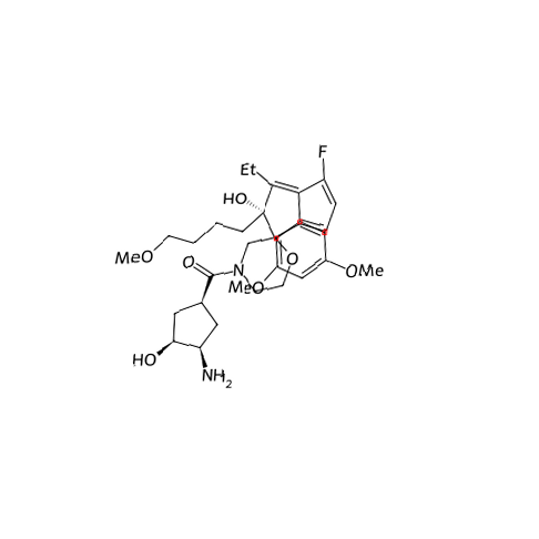 CC\C1=C(c2cc(OC)cc(OC)c2)/C(F)=C\C=C\C2(CN(C(=O)[C@H]3C[C@@H](N)[C@@H](O)C3)CCO2)[C@@]1(O)CCCCOC